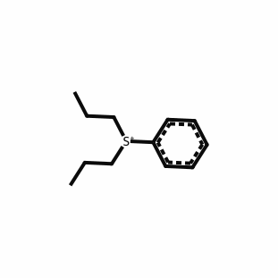 CCC[S+](CCC)c1ccccc1